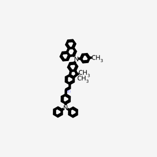 Cc1ccc(N(c2ccc3c(c2)C(C)(C)c2cc(/C=C/c4ccc(N(c5ccccc5)c5ccccc5)cc4)ccc2-3)c2cc3ccccc3c3ccccc23)cc1